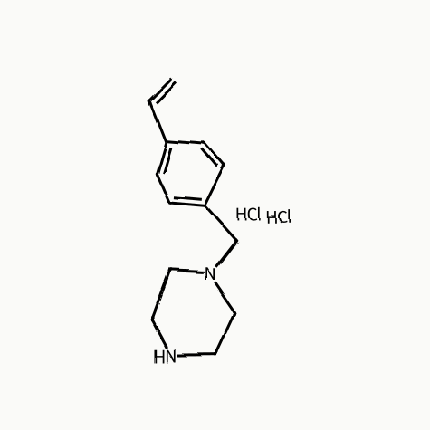 C=Cc1ccc(CN2CCNCC2)cc1.Cl.Cl